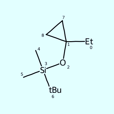 CCC1(O[Si](C)(C)C(C)(C)C)CC1